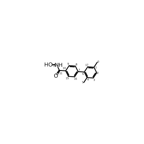 Cc1ccc(C)c(-c2ccc(C(=O)NO)cc2)c1